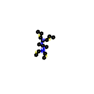 c1ccc(-c2cccc3c2sc2ccc(-c4cc(-n5c6ccccc6c6cc7c(cc65)c5ccccc5n7-c5nc(-c6ccc7sc8ccccc8c7c6)nc(-c6ccc7sc8ccccc8c7c6)n5)cc(-c5ccc6sc7c(-c8ccccc8)cccc7c6c5)n4)cc23)cc1